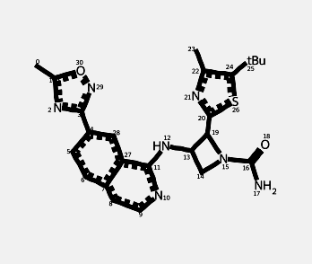 Cc1nc(-c2ccc3ccnc(NC4CN(C(N)=O)C4c4nc(C)c(C(C)(C)C)s4)c3c2)no1